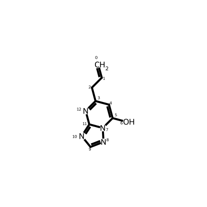 C=CCc1cc(O)n2ncnc2n1